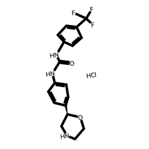 Cl.O=C(Nc1ccc([C@@H]2CNCCO2)cc1)Nc1ccc(C(F)(F)F)cc1